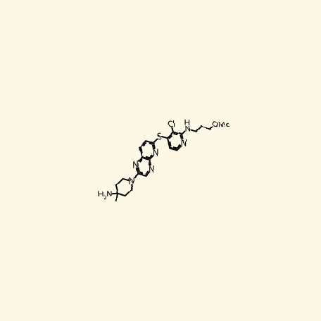 COCCCNc1nccc(Sc2ccc3nc(N4CCC(C)(N)CC4)cnc3n2)c1Cl